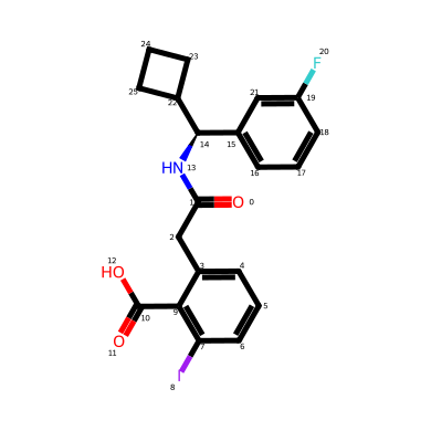 O=C(Cc1cccc(I)c1C(=O)O)N[C@H](c1cccc(F)c1)C1CCC1